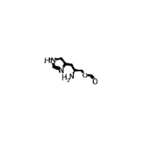 N[C@H](COC=O)CC1CNC=N1